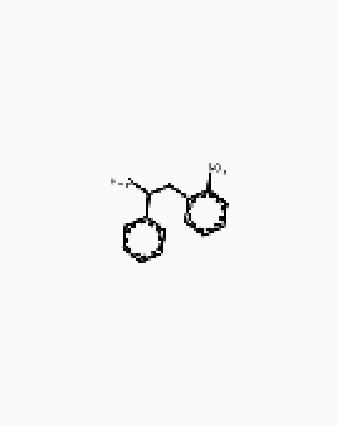 O=[N+]([O-])c1ccccc1CC(c1ccccc1)S(=O)(=O)O